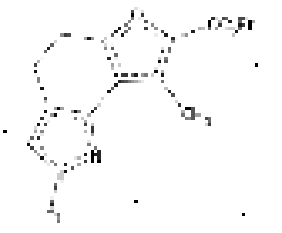 CCOC(=O)c1oc2c(c1C)-c1nn(CC)cc1CC2